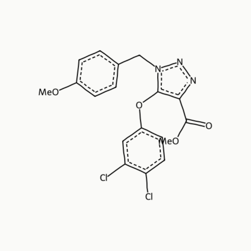 COC(=O)c1nnn(Cc2ccc(OC)cc2)c1Oc1ccc(Cl)c(Cl)c1